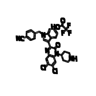 N#Cc1ccc(Cn2cc(-c3nc4cc(Cl)c(Cl)cc4n(C4CCNCC4)c3=O)c3ccccc32)cc1.O=C(O)C(F)(F)F